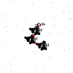 CC(C)(C)c1cc(CNC2CCCCC2NCc2cc(C(C)(C)C)cc(C(C)(C)C)c2[O-])c([O-])c(C(C)(C)C)c1.CC(C)(C)c1cc(CNC2CCCCC2NCc2cc(C(C)(C)C)cc(C(C)(C)C)c2[O-])c([O-])c(C(C)(C)C)c1.CC(C)(C)c1cc(CN[C@@H]2CCCC[C@H]2NCc2cc(C(C)(C)C)cc(C(C)(C)C)c2[O-])c([O-])c(C(C)(C)C)c1.[Cl-].[Cr+3].[Cr+3]